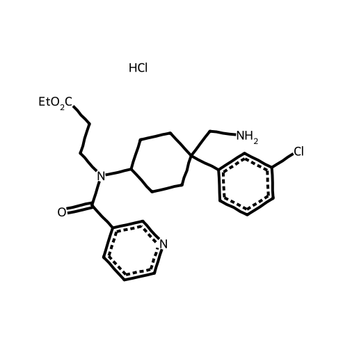 CCOC(=O)CCN(C(=O)c1cccnc1)C1CCC(CN)(c2cccc(Cl)c2)CC1.Cl